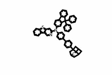 c1ccc(C2(c3ccccc3)c3ccccc3-c3ccc(N(c4ccc(-c5ccc(C67CC8CC9CC(C6)C97C8)cc5)cc4)c4cc5sc6ccccc6c5cn4)cc32)cc1